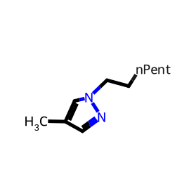 CCCCCCCn1cc(C)cn1